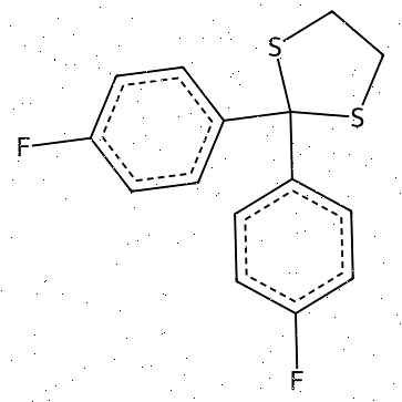 Fc1ccc(C2(c3ccc(F)cc3)SCCS2)cc1